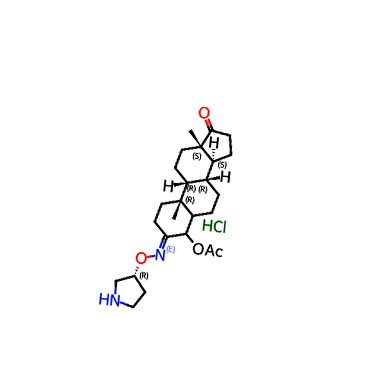 CC(=O)OC1/C(=N/O[C@@H]2CCNC2)CC[C@@]2(C)C1CC[C@@H]1[C@H]2CC[C@]2(C)C(=O)CC[C@@H]12.Cl